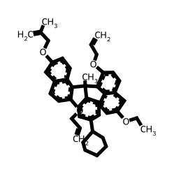 C=CCOc1ccc2cc(OCC)ccc2c1C(C)(c1ccc(C2CCCCC2)cc1)c1c(OCC=C)ccc2cc(OCC(=C)C)ccc12